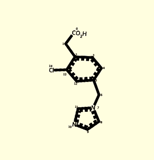 O=C(O)Cc1ccc(Cn2ccnc2)cc1Cl